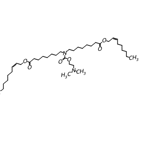 CCCCCC/C=C\COC(=O)CCCCCCCN(CCCCCCCC(=O)OC/C=C\CCCCCC)C(=O)OCCN(C)C